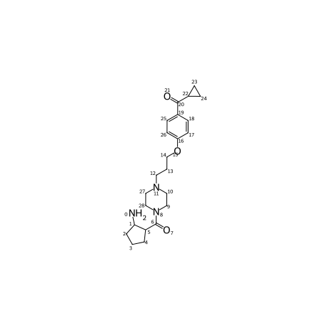 NC1CCCC1C(=O)N1CCN(CCCOc2ccc(C(=O)C3CC3)cc2)CC1